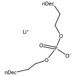 CCCCCCCCCCCCOP(=O)([O-])OCCCCCCCCCCCC.[Li+]